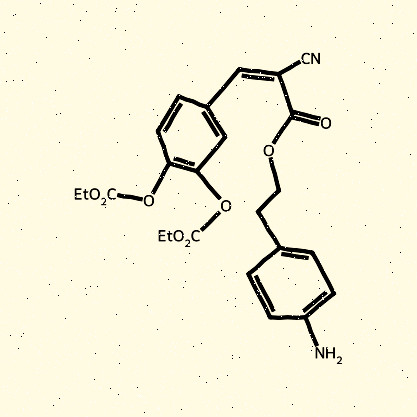 CCOC(=O)Oc1ccc(C=C(C#N)C(=O)OCCc2ccc(N)cc2)cc1OC(=O)OCC